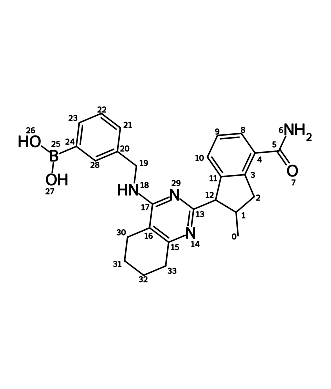 CC1Cc2c(C(N)=O)cccc2C1c1nc2c(c(NCc3cccc(B(O)O)c3)n1)CCCC2